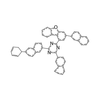 C1=CCC(c2ccc3cc(-c4nc(-c5ccc6ccccc6c5)nc(-c5cc(-c6ccc7ccccc7c6)cc6oc7ccccc7c56)n4)ccc3c2)C=C1